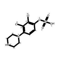 O=S(=O)(O)Oc1ccc(N2CCNCC2)c(Cl)c1Cl